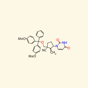 C=C1C(n2ccc(=O)[nH]c2=O)CCC1(C#N)COC(c1ccccc1)(c1ccc(OC)cc1)c1ccc(OC)cc1